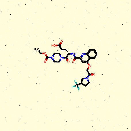 CCOC(=O)N1CCN(C(=O)[C@H](CCC(=O)O)NC(=O)c2cc(OCC(=O)N3CCC(C(F)(F)F)C3)c3ccccc3n2)CC1